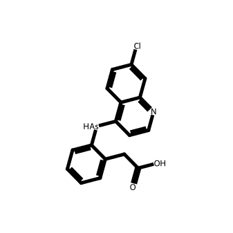 O=C(O)Cc1ccccc1[AsH]c1ccnc2cc(Cl)ccc12